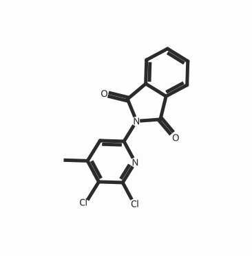 Cc1cc(N2C(=O)c3ccccc3C2=O)nc(Cl)c1Cl